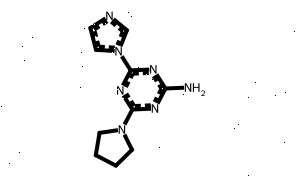 Nc1nc(N2CCCC2)nc(-n2ccnc2)n1